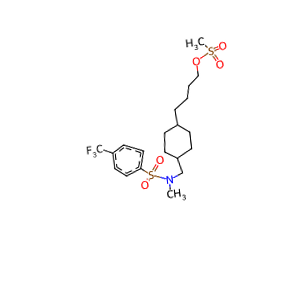 CN(CC1CCC(CCCCOS(C)(=O)=O)CC1)S(=O)(=O)c1ccc(C(F)(F)F)cc1